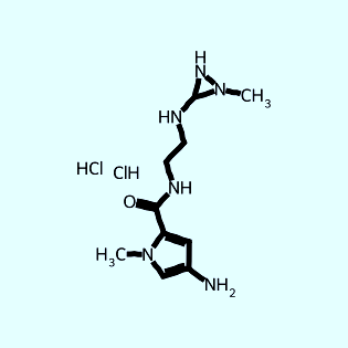 CN1NC1NCCNC(=O)c1cc(N)cn1C.Cl.Cl